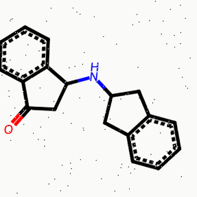 O=C1CC(NC2Cc3ccccc3C2)c2ccccc21